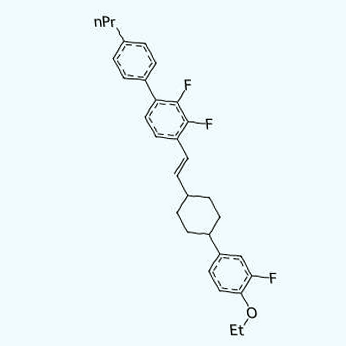 CCCc1ccc(-c2ccc(/C=C/C3CCC(c4ccc(OCC)c(F)c4)CC3)c(F)c2F)cc1